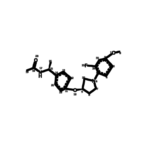 COc1ccc(N2CC[C@@H](Oc3ccc([C@H](C)NC(C)=O)cc3)C2)c(F)c1